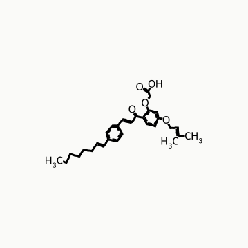 CCCCCCC=Cc1ccc(C=CC(=O)c2ccc(OCC=C(C)C)cc2OCC(=O)O)cc1